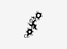 Cc1cc(C(=O)CN(C)C2CCCCC2)c(C)n1-c1ccc(Cl)cc1